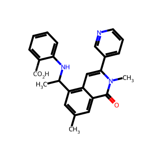 Cc1cc(C(C)Nc2ccccc2C(=O)O)c2cc(-c3cccnc3)n(C)c(=O)c2c1